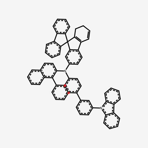 C1=CC2=C(CC1)C1(c3cc(N(c4ccc(-c5cccc(-n6c7ccccc7c7ccccc76)c5)cc4)c4ccc5ccccc5c4-c4ccccc4)ccc32)c2ccccc2-c2ccccc21